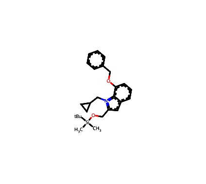 CC(C)(C)[Si](C)(C)OCc1cc2cccc(OCc3ccccc3)c2n1CC1CC1